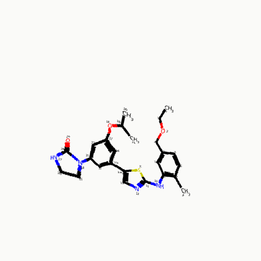 CCOCc1ccc(C)c(Nc2ncc(-c3cc(OC(C)C)cc(N4CCNC4=O)c3)s2)c1